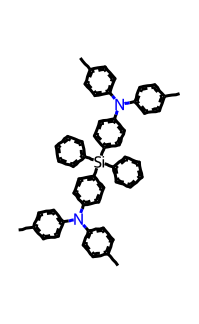 Cc1ccc(N(c2ccc(C)cc2)c2ccc([Si](c3ccccc3)(c3ccccc3)c3ccc(N(c4ccc(C)cc4)c4ccc(C)cc4)cc3)cc2)cc1